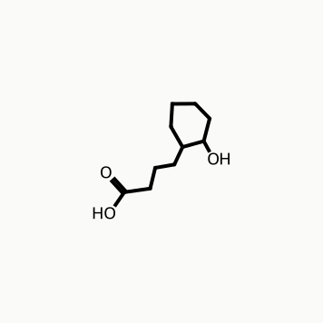 O=C(O)CCCC1CCCCC1O